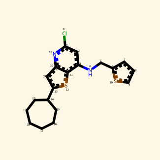 Clc1cc(NCc2cccs2)c2sc(C3CCCCCC3)cc2n1